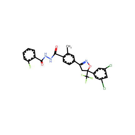 Cc1cc(C2=NOC(c3cc(Cl)cc(Cl)c3)(C(F)(F)F)C2)ccc1C(=O)NNC(=O)c1ccccc1F